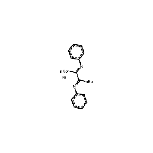 CCCCCCCCCC(=N\c1ccccc1)/C(CCCC)=N/c1ccccc1.[Ni]